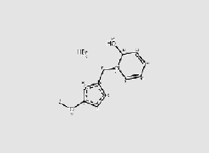 Br.COc1ccc(CN2C=CC=CC2O)s1